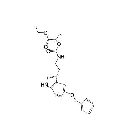 CCOC(=O)C(C)OC(=O)NCCc1c[nH]c2ccc(OCc3ccccc3)cc12